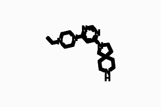 CCN1CCN(c2cc(N3CCC4(CCNCC4)C3)ncn2)CC1